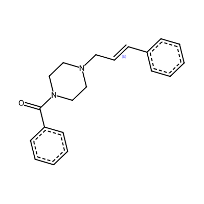 O=C(c1ccccc1)N1CCN(C/C=C/c2ccccc2)CC1